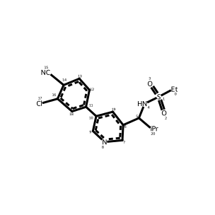 CCS(=O)(=O)NC(c1cncc(-c2ccc(C#N)c(Cl)c2)c1)C(C)C